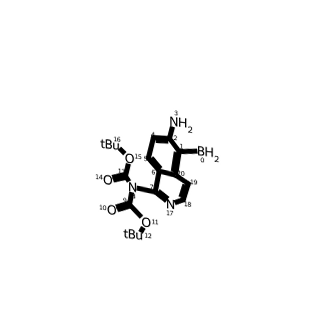 Bc1c(N)ccc2c(N(C(=O)OC(C)(C)C)C(=O)OC(C)(C)C)nccc12